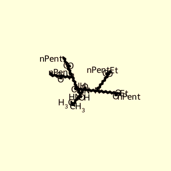 CCCCC/C=C\CCOC(=O)CCCCN(CCCCNC(=O)c1cc(C(=O)NCCCCN(CCCCCCCCC(=O)OC(CC)CCCCC)CCCCCCCCC(=O)OC(CC)CCCCC)cc(C(=O)NCCCN(C)C)c1)CCCCC(=O)OCC/C=C\CCCCC